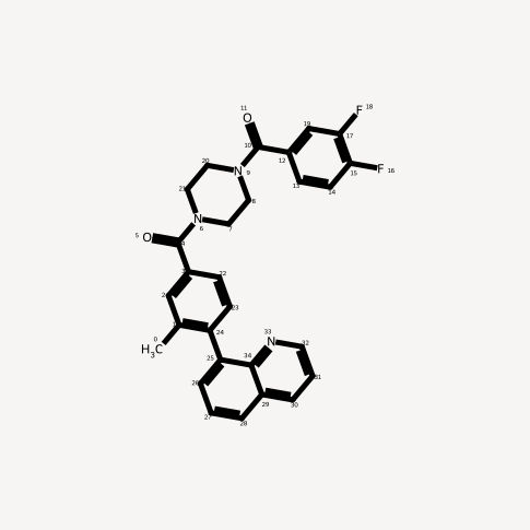 Cc1cc(C(=O)N2CCN(C(=O)c3ccc(F)c(F)c3)CC2)ccc1-c1cccc2cccnc12